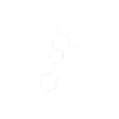 Cc1cc(Cl)cc2c1OC(c1cccc(Br)c1)C2